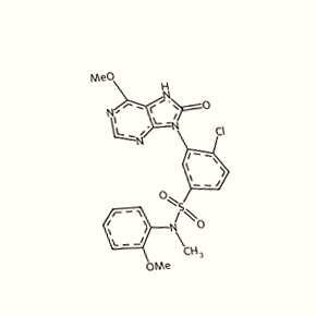 COc1ccccc1N(C)S(=O)(=O)c1ccc(Cl)c(-n2c(=O)[nH]c3c(OC)ncnc32)c1